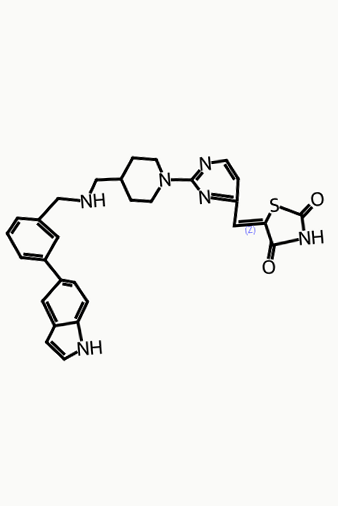 O=C1NC(=O)/C(=C/c2ccnc(N3CCC(CNCc4cccc(-c5ccc6[nH]ccc6c5)c4)CC3)n2)S1